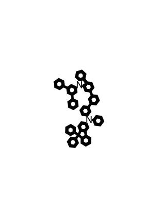 c1ccc(-c2cc(-c3ccccc3)cc(-n3c4ccccc4c4ccc(-c5cccc(-c6cccc(N(c7ccccc7)c7ccc8c(c7)-c7ccccc7C8(c7ccccc7)c7ccccc7)c6)c5)cc43)c2)cc1